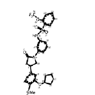 COc1ccc(C2CC(=O)N(c3cccc(NS(=O)(=O)c4ccccc4OC(F)(F)F)c3)C2)cc1OC1CCCC1